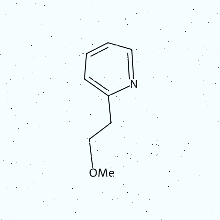 COCCc1c[c]ccn1